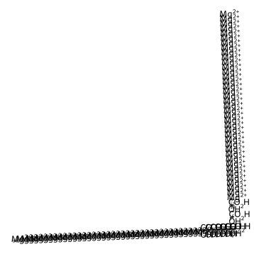 O=C(O)O.O=C(O)O.O=C(O)O.O=C(O)O.O=C(O)O.O=C(O)O.O=C(O)O.O=C(O)O.O=C(O)O.[Mg+2].[Mg+2].[Mg+2].[Mg+2].[Mg+2].[Mg+2].[Mg+2].[Mg+2].[Mg+2].[Mg+2].[Mg+2].[Mg+2].[Mg+2].[Mg+2].[Mg+2].[Mg+2].[Mg+2].[Mg+2].[Mg+2].[Mg+2].[Mg+2].[Mg+2].[Mg+2].[Mg+2].[Mg+2].[Mg+2].[Mg+2].[Mg+2].[Mg+2].[Mg+2].[Mg+2].[Mg+2].[Mg+2].[Mg+2].[Mg+2].[Mg+2].[Mg+2].[Mg+2].[Mg+2].[Mg+2].[Mg+2].[Mg+2].[Mg+2].[Mg+2].[Mg+2].[Mg+2].[Mg+2].[Mg+2].[Mg+2].[Mg+2].[Mg+2].[Mg+2].[Mg+2].[Mg+2].[Mg+2].[Mg+2].[Mg+2].[Mg+2].[Mg+2].[Mg+2].[Mg+2].[Mg+2].[Mg+2].[Mg+2].[Mg+2].[Mg+2].[Mg+2].[Mg+2].[Mg+2].[Mg+2].[Mg+2].[Mg+2].[Mg+2].[Mg+2].[Mg+2].[Mg+2].[Mg+2].[Mg+2]